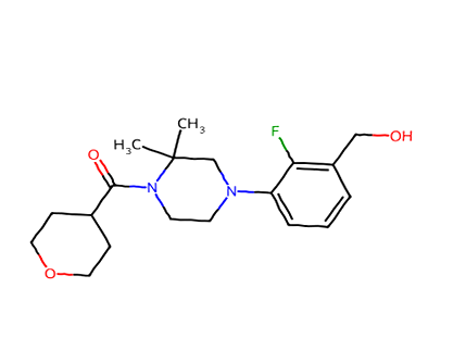 CC1(C)CN(c2cccc(CO)c2F)CCN1C(=O)C1CCOCC1